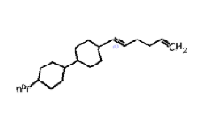 C=CCC/C=C/C1CCC(C2CCC(CCC)CC2)CC1